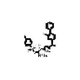 CNC(=NS(=O)(=O)c1ccc(C)cc1)Nc1cc(C(C)c2ccc(-c3ccccc3)c(F)c2)on1